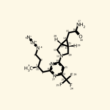 C[C@@H](CCN=[N+]=[N-])Cc1nc(N2C[C@@H]3C(CC(N)=O)[C@@H]3C2)cc(C(F)(F)F)n1